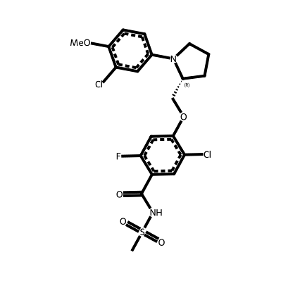 COc1ccc(N2CCC[C@@H]2COc2cc(F)c(C(=O)NS(C)(=O)=O)cc2Cl)cc1Cl